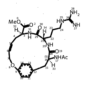 COC(=O)[C@@H]1CC=CCOc2ccc(cc2)C[C@H](NC(C)=O)C(=O)N[C@@H](CCCNC(=N)N)C(=O)N1